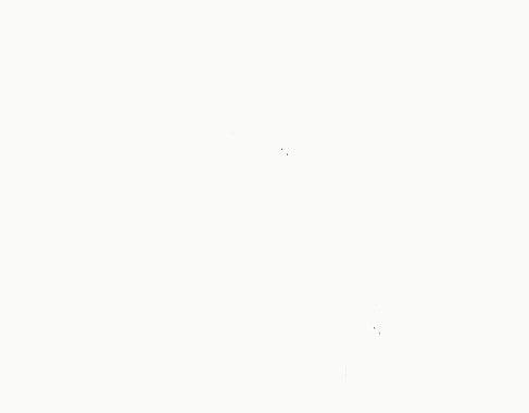 Cc1nsc(-c2cccc(Cc3nc(-c4ccccc4)sc3-c3ccccc3)c2)c1-c1ccccc1